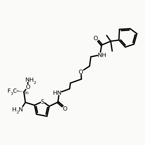 CC(C)(C(=O)NCCOCCCNC(=O)c1ccc(C(N)[C@@H](ON)C(F)(F)F)s1)c1ccccc1